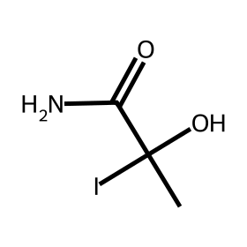 CC(O)(I)C(N)=O